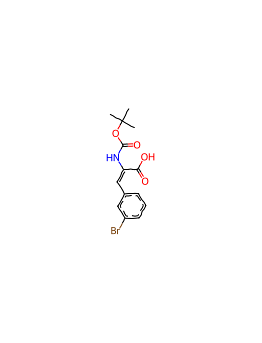 CC(C)(C)OC(=O)N/C(=C/c1cccc(Br)c1)C(=O)O